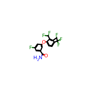 NC(=O)c1cc(F)cc(OC2=C=C=C3C(=C2C(F)F)C(F)C3(F)F)c1